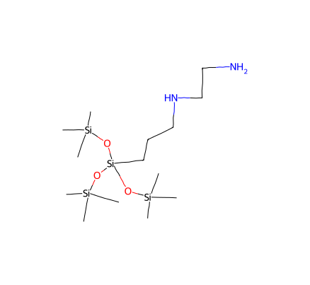 C[Si](C)(C)O[Si](CCCNCCN)(O[Si](C)(C)C)O[Si](C)(C)C